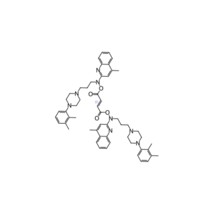 Cc1cccc(N2CCN(CCCN(OC(=O)/C=C/C(=O)ON(CCCN3CCN(c4cccc(C)c4C)CC3)c3cc(C)c4ccccc4n3)c3cc(C)c4ccccc4n3)CC2)c1C